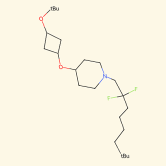 CC(C)(C)CCCCC(F)(F)CN1CCC(OC2CC(OC(C)(C)C)C2)CC1